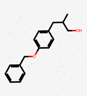 CC(CO)Cc1ccc(OCc2ccccc2)cc1